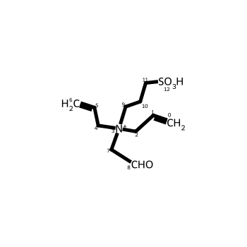 C=CC[N+](CC=C)(CC=O)CCCS(=O)(=O)O